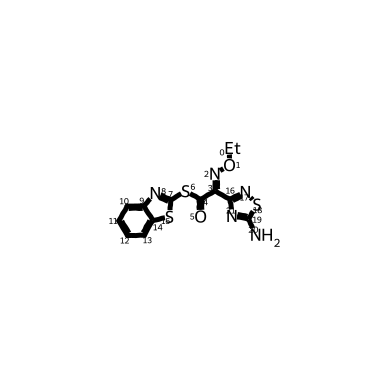 CCON=C(C(=O)Sc1nc2ccccc2s1)c1nsc(N)n1